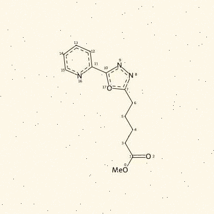 COC(=O)CCCCc1nnc(-c2ccccn2)o1